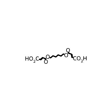 O=C(O)C=CC(=O)OCCCCCCOC(=O)C=CC(=O)O